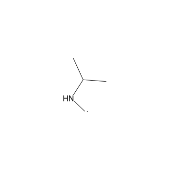 [CH2]NC(C)C